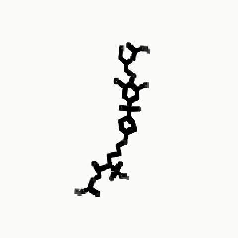 CC(=O)OCC(=O)N(CCCOc1ccc(S(=O)(=O)c2cc(Cl)c(OCC(CCl)OC(C)=O)c(Cl)c2)cc1)S(C)(=O)=O